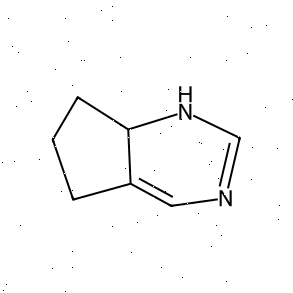 C1=NC=C2CCCC2N1